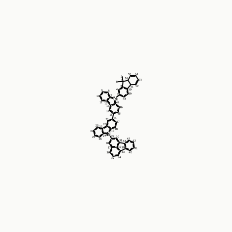 CC1(C)c2cc(-n3c4ccccc4c4cc(-c5ccc6c(c5)c5ccccc5n6-c5cc6c7c(cccc7c5)-c5ccccc5-6)ccc43)ccc2C2C=CC=CC21